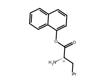 CC(C)C[C@H](N)C(=O)Oc1cccc2ccccc12